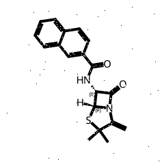 C=C1N2C(=O)[C@@H](NC(=O)c3ccc4ccccc4c3)[C@H]2SC1(C)C